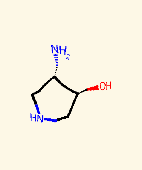 N[C@H]1CNC[C@@H]1O